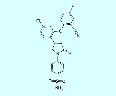 N#Cc1cc(F)ccc1Oc1cc(Cl)ccc1C1CC(=O)N(c2ccc(S(N)(=O)=O)cc2)C1